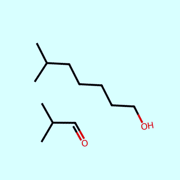 CC(C)C=O.CC(C)CCCCCO